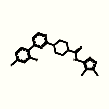 Cc1noc(NC(=O)N2CCN(c3nccc(-c4ccc(F)cc4F)n3)CC2)c1C